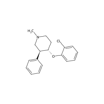 CN1CC[C@H](Oc2ccccc2Cl)[C@@H](c2ccccc2)C1